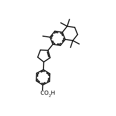 Cc1cc2c(cc1C1=CC(c3ccc(C(=O)O)cc3)CC1)C(C)(C)CCC2(C)C